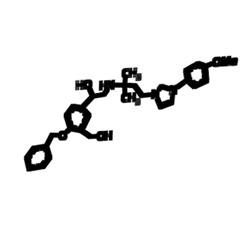 COc1ccc(N2C=CN(CCC(C)(C)NCC(O)c3ccc(OCc4ccccc4)c(CO)c3)C2)cc1